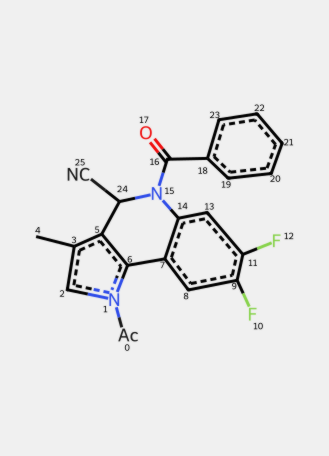 CC(=O)n1cc(C)c2c1-c1cc(F)c(F)cc1N(C(=O)c1ccccc1)C2C#N